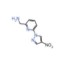 NCc1cccc(-n2cc([N+](=O)[O-])cn2)n1